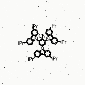 CC(C)c1ccc2c(c1)c1cc(C(C)C)ccc1n2-c1cc(-n2c3ccc(C(C)C)cc3c3cc(C(C)C)ccc32)c(C#N)c(-n2c3ccc(C(C)C)cc3c3cc(C(C)C)ccc32)c1